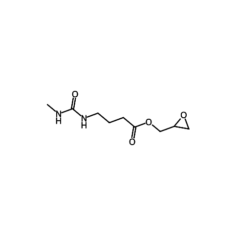 CNC(=O)NCCCC(=O)OCC1CO1